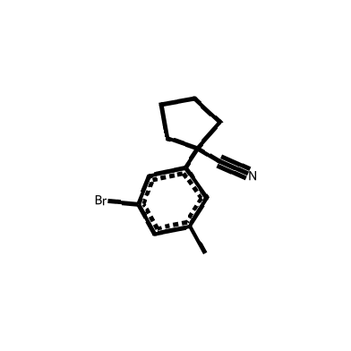 Cc1cc(Br)cc(C2(C#N)CCCC2)c1